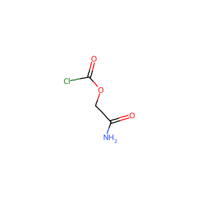 NC(=O)COC(=O)Cl